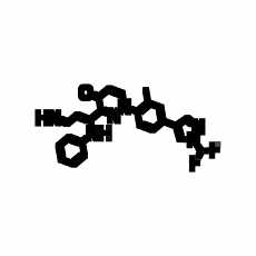 Cc1cc(-c2cnn(C(F)F)c2)ccc1-n1ccc(=O)c(/C(=C/C=N)Nc2ccccc2)n1